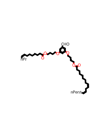 CCC/C=C\CCCCCCC(=O)OCCCCOc1cc(C=O)cc(OCCCCOC(=O)CCCCCCC/C=C\C/C=C\CCCCC)c1